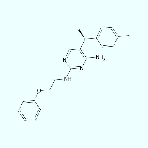 Cc1ccc([C@H](C)c2cnc(NCCOc3ccccc3)nc2N)cc1